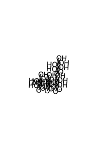 N.O=C([O-])[C@H](O)[C@@H](O)[C@H](O)[C@H](O)CO.O=C([O-])[C@H](O)[C@@H](O)[C@H](O)[C@H](O)CO.O=C([O-])[C@H](O)[C@@H](O)[C@H](O)[C@H](O)CO.O=C([O-])[C@H](O)[C@@H](O)[C@H](O)[C@H](O)CO.[Zr+4]